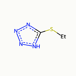 CCSc1nnn[nH]1